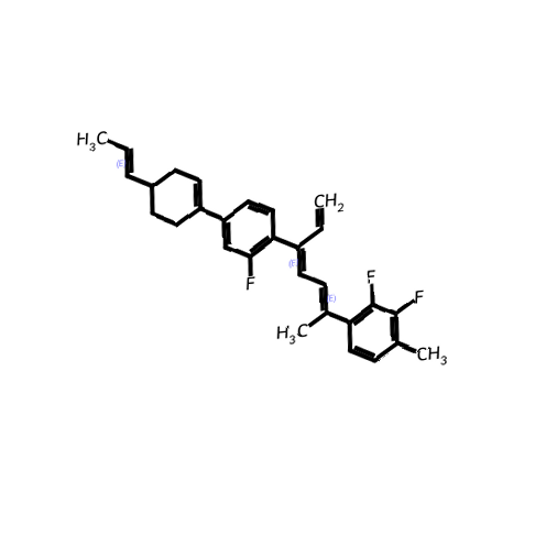 C=C/C(=C\C=C(/C)c1ccc(C)c(F)c1F)c1ccc(C2=CCC(/C=C/C)CC2)cc1F